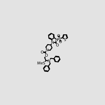 CSC(COC(=O)N1CCC(n2c(=O)n(S(=O)(=O)c3cccs3)c3ccccc32)CC1)N(Cc1ccccc1)Cc1ccccc1